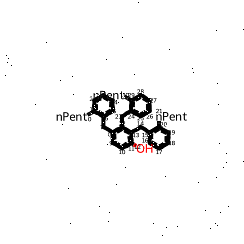 CCCCCc1ccccc1Cc1ccc(O)c(Cc2ccccc2CCCCC)c1Cc1ccccc1CCCCC